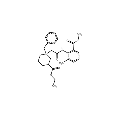 CCOC(=O)C1CCC[N+](CC(=O)Nc2c(C)cccc2C(=O)OC)(Cc2ccccc2)C1